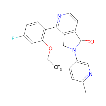 Cc1ccc(N2Cc3c(ccnc3-c3ccc(F)cc3OCC(F)(F)F)C2=O)cn1